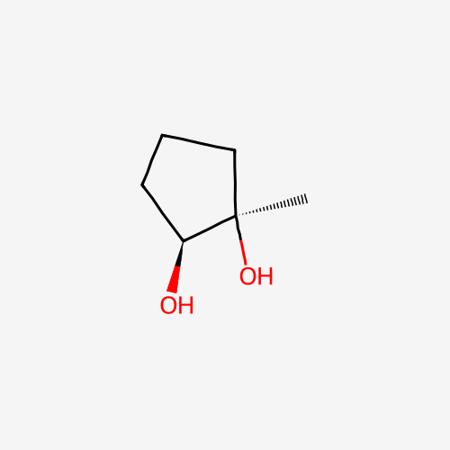 C[C@@]1(O)CCC[C@@H]1O